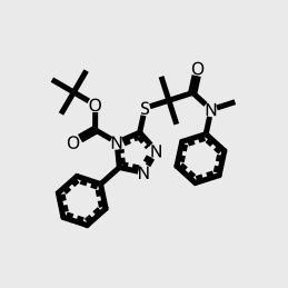 CN(C(=O)C(C)(C)Sc1nnc(-c2ccccc2)n1C(=O)OC(C)(C)C)c1ccccc1